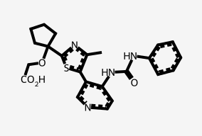 Cc1nc(C2(OCC(=O)O)CCCC2)sc1-c1cnccc1NC(=O)Nc1ccccc1